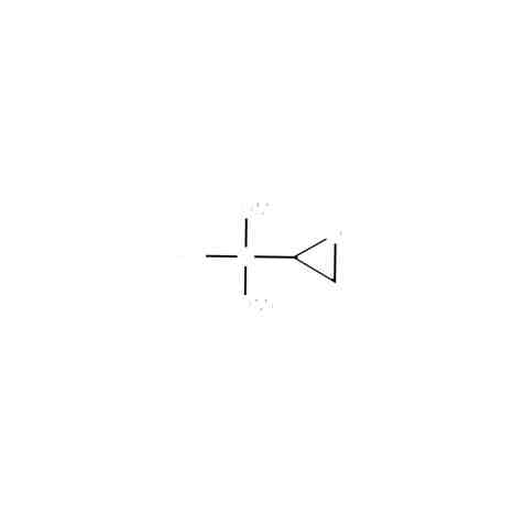 CO[Si](C)(OC)C1CO1